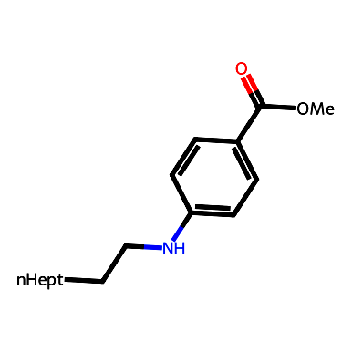 CCCCCCCCCNc1ccc(C(=O)OC)cc1